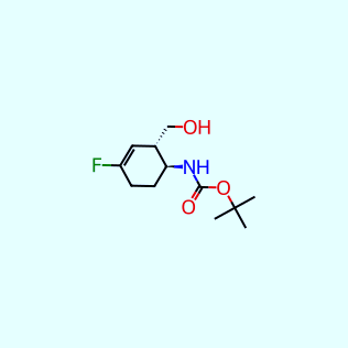 CC(C)(C)OC(=O)N[C@H]1CCC(F)=C[C@@H]1CO